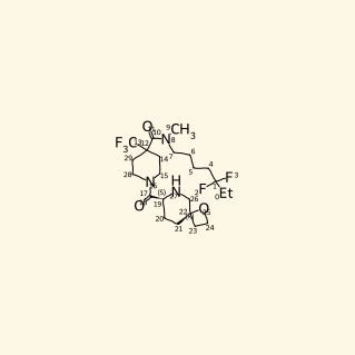 CCC(F)(F)CCCCN(C)C(=O)C1(C(F)(F)F)CCN(C(=O)[C@@H]2CC[C@@]3(CCO3)CN2)CC1